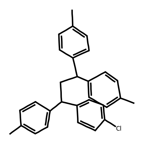 Cc1ccc(C(CC(c2ccc(C)cc2)c2ccc(Cl)cc2)c2ccc(C)cc2)cc1